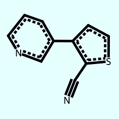 N#Cc1sccc1-c1cccnc1